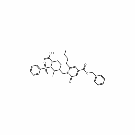 CCCCc1cc(C(=O)OCc2ccccc2)cc(=O)n1CC1CCN(C(=O)O)C(S(=O)(=O)c2ccccc2)C1Cl